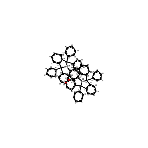 c1ccc(C2(c3ccccc3)c3ccccc3C(c3ccccc3)(c3ccccc3)N2c2ccc(N3C(c4ccccc4)(c4ccccc4)c4ccccc4C3(c3ccccc3)c3ccccc3)cc2)cc1